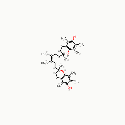 Cc1c(C)c2c(c(C)c1O)CCC(C)(CCC(C(=O)O)=C(CCC1(C)CCc3c(C)c(O)c(C)c(C)c3O1)C(=O)O)O2